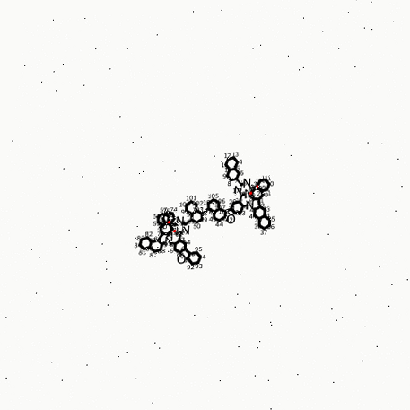 c1ccc(-c2nc(-c3ccc4ccccc4c3)nc(-c3cc4c(cc3-n3c5ccccc5c5cc6ccccc6cc53)oc3ccc5c(-c6ccc(-c7nc(-c8ccccc8)nc(-c8cc9c(cc8-n8c%10cc%11ccccc%11cc%10c%10c%11ccccc%11ccc%108)oc8ccccc89)n7)c7ccccc67)cccc5c34)n2)cc1